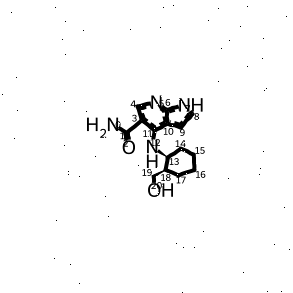 NC(=O)c1cnc2[nH]ccc2c1N[C@H]1CCCC[C@H]1CO